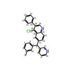 Cc1cccc(C(c2cccnc2)c2ccc3ncc(-c4ccccc4)c(Cl)c3c2)c1